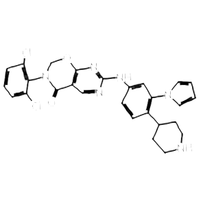 O=C1c2cnc(Nc3ccc(C4CCNCC4)c(-n4cccc4)c3)nc2OCN1c1c(Cl)cccc1Cl